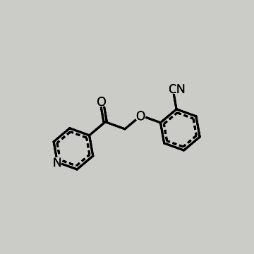 N#Cc1ccccc1OCC(=O)c1ccncc1